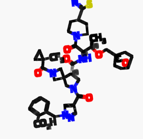 C[C@@H](OCC12CCC(CC1)OC2)[C@H](NC(=O)[C@@H]1CN(C(=O)c2cnn(Cc3ccccc3C(=O)O)c2)CC12CN(C(=O)C1(C(F)(F)F)CC1)C2)C(=O)N1CCC(c2nccs2)CC1